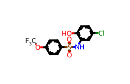 O=S(=O)(Nc1cc(Cl)ccc1O)c1ccc(OC(F)(F)F)cc1